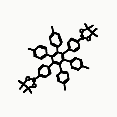 Cc1ccc(-c2c(-c3ccc(C)cc3)c(-c3ccc(B4OC(C)(C)C(C)(C)O4)cc3)c(-c3ccc(C)cc3)c(-c3ccc(C)cc3)c2-c2ccc(B3OC(C)(C)C(C)(C)O3)cc2)cc1